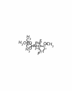 COc1ccc(F)c(CNC(=O)OC(C)(C)C)c1C(F)F